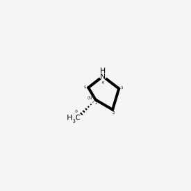 C[C@H]1C[CH]NC1